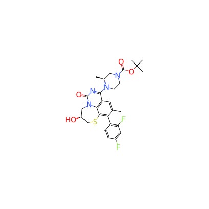 Cc1cc2c(N3CCN(C(=O)OC(C)(C)C)C[C@@H]3C)nc(=O)n3c2c(c1-c1ccc(F)cc1F)SC[C@@H](O)C3